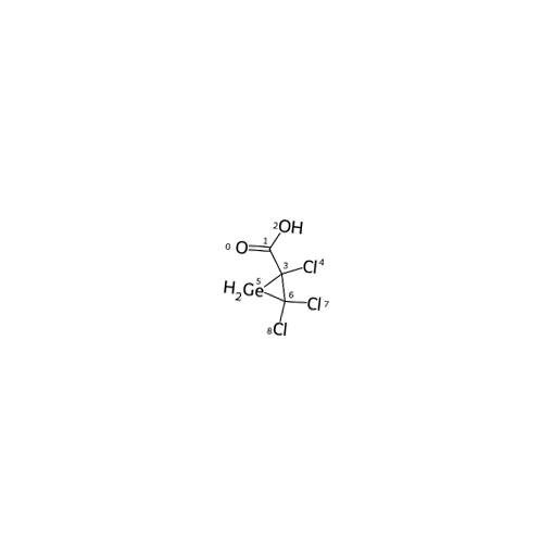 O=C(O)[C]1(Cl)[GeH2][C]1(Cl)Cl